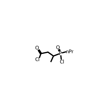 CCCP(=O)(Cl)C(C)CC(=O)Cl